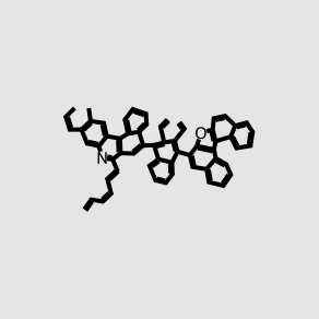 C=C/C=C\C=C\c1nc2cc(/C=C\C)c(C)cc2c2c1cc(-c1c(C=C)c(C=C)c(-c3cc4ccccc4c4c3oc3ccc5ccccc5c34)c3ccccc13)c1ccccc12